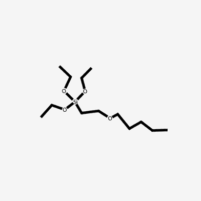 CCCCCOCC[Si](OCC)(OCC)OCC